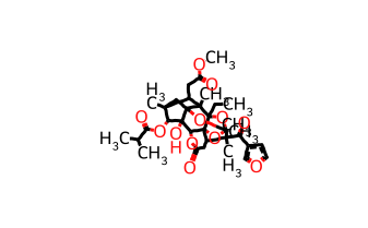 CCC12OC3(C)OC14C(C(C)(C)C(=O)c1ccoc1)CC(=O)OC4C1(O)C(OC(=O)C(C)C)C4(C)CC1(O3)C2(C)C4CC(=O)OC